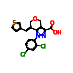 O=C(O)c1nn(-c2ccc(Cl)cc2Cl)c2c1COCC2=Cc1ccsc1